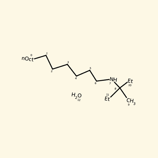 CCCCCCCCCCCCCCNC(C)(CC)CC.O